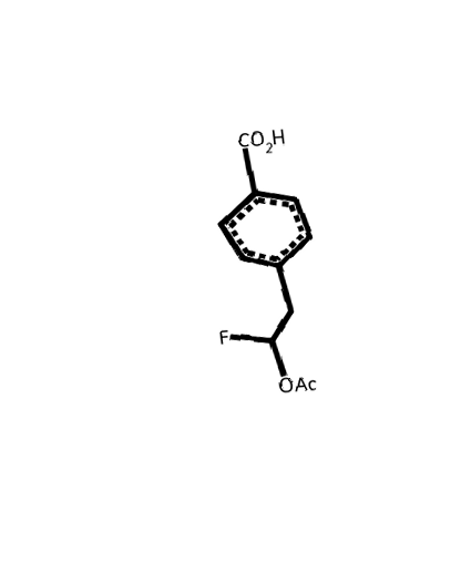 CC(=O)OC(F)Cc1ccc(C(=O)O)cc1